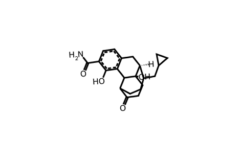 NC(=O)c1ccc2c(c1O)C1C3CCC(CC4CC4)[C@H](C2)[C@]1(O)CCC3=O